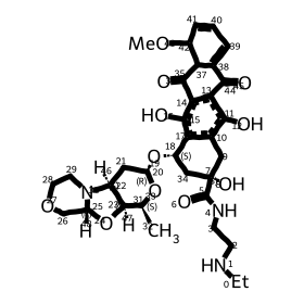 CCNCCNC(=O)[C@]1(O)Cc2c(O)c3c(c(O)c2[C@@H](O[C@H]2C[C@H]4[C@H](O[C@@H]5COCCN54)[C@H](C)O2)C1)C(=O)C1C(=CC=CC1OC)C3=O